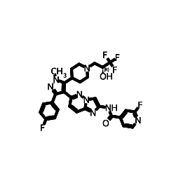 Cn1nc(-c2ccc(F)cc2)c(-c2ccc3nc(NC(=O)c4ccnc(F)c4)cn3n2)c1C1CCN(C[C@@H](O)C(F)(F)F)CC1